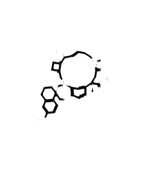 CN1CC/C=C/[C@H](O)[C@@H]2CC[C@H]2CN2C[C@@]3(CCCc4cc(Cl)ccc43)COc3ccc(cc32)[C@@](CO)(C(=O)O)CC1=O